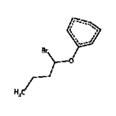 CCCC(Br)Oc1ccccc1